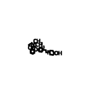 CC(C)N1CCOC1(COc1ccc(CCN2CCC(O)CC2)cc1)c1ccccc1